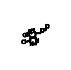 O=COCC(Cl)c1ncnc(Cl)c1[N+](=O)[O-]